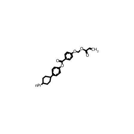 C=CC(=O)OCOc1ccc(C(=O)Oc2ccc(C3CCC(CCC)CC3)cc2)cc1